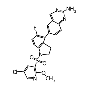 COc1ncc(Cl)cc1S(=O)(=O)N1CCc2c1ccc(F)c2-c1ccc2nc(N)ncc2c1